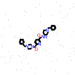 O=C(NC1CCN(Cc2ccccc2)CC1)c1ccc(C(=O)N2CCN(Cc3ccccc3)CC2)nc1